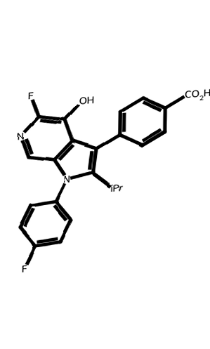 CC(C)c1c(-c2ccc(C(=O)O)cc2)c2c(O)c(F)ncc2n1-c1ccc(F)cc1